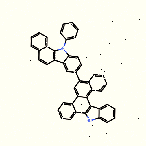 c1ccc(-n2c3ccc(-c4cc5c6ccccc6c6[nH]c7ccccc7c6c5c5ccccc45)cc3c3ccc4ccccc4c32)cc1